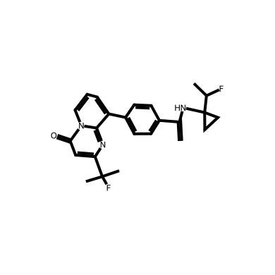 C=C(NC1(C(C)F)CC1)c1ccc(-c2cccn3c(=O)cc(C(C)(C)F)nc23)cc1